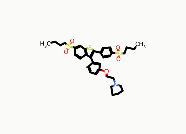 CCCCS(=O)(=O)c1ccc(-c2sc3cc(S(=O)(=O)CCCC)ccc3c2-c2[c]ccc(OCCN3CCCCC3)c2)cc1